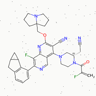 C=C(F)C(=O)N1CCN(c2c(C#N)c(OCC34CCCN3CCC4)nc3c(F)c(-c4cccc5c4C4CC4C5)ncc23)C[C@@H]1CC#N